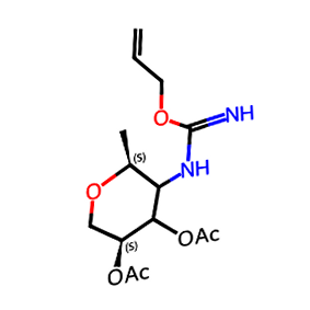 C=CCOC(=N)NC1C(OC(C)=O)[C@@H](OC(C)=O)CO[C@H]1C